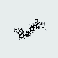 CNC(Cc1ccc(-c2noc(-c3cccc4c3CCNC4)n2)cc1)C(=O)O